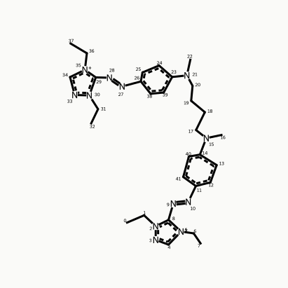 CCn1nc[n+](CC)c1N=Nc1ccc(N(C)CCCCN(C)c2ccc(N=Nc3n(CC)nc[n+]3CC)cc2)cc1